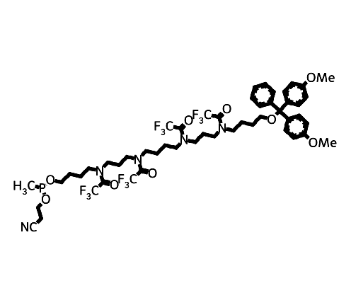 COc1ccc(C(OCCCCN(CCCN(CCCCN(CCCN(CCCCOP(C)OCCC#N)C(=O)C(F)(F)F)C(=O)C(F)(F)F)C(=O)C(F)(F)F)C(=O)C(F)(F)F)(c2ccccc2)c2ccc(OC)cc2)cc1